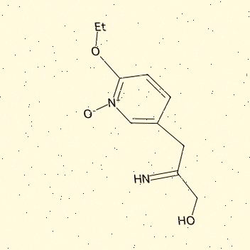 CCOc1ccc(CC(=N)CO)c[n+]1[O-]